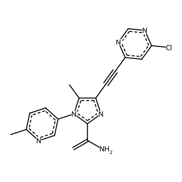 C=C(N)c1nc(C#Cc2cc(Cl)ncn2)c(C)n1-c1ccc(C)nc1